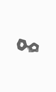 c1ccc([C@H]2CCON2)cc1